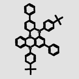 CC(C)(C)c1ccc(N2c3cc(-c4ccccc4)cc4c3B(c3ccccc3N4C3=CCC(C(C)(C)C)C=C3)C3C=CC(c4ccccc4)=CC32)cc1